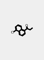 CCC(=O)c1cccc2c(Cl)cccc12